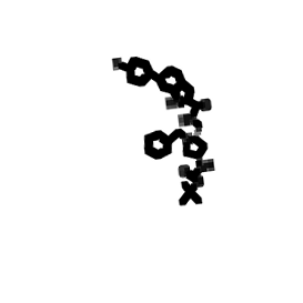 CC(C)(C)OC(=O)N[C@H]1C[C@@H](CNC(=O)c2cc3ccc(-c4ccc(F)cc4)cc3[nH]2)N(Cc2ccccc2)C1